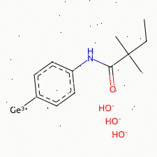 CCC(C)(C)C(=O)Nc1cc[c]([Ge+3])cc1.[OH-].[OH-].[OH-]